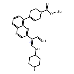 CC(C)(C)OC(=O)N1CC=C(c2cccc3ncc(/C(C=N)=C/NC4CCNCC4)nc23)CC1